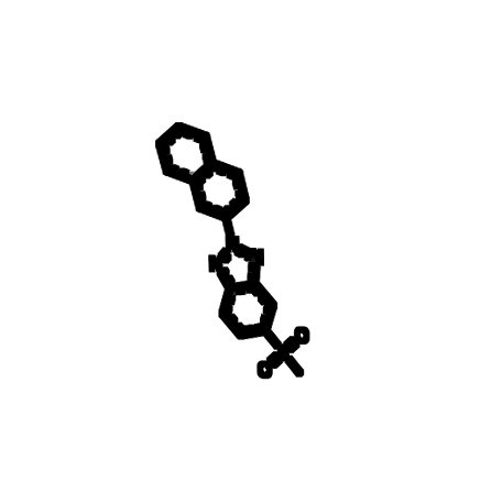 CS(=O)(=O)c1ccc2nn(-c3ccc4ccccc4c3)nc2c1